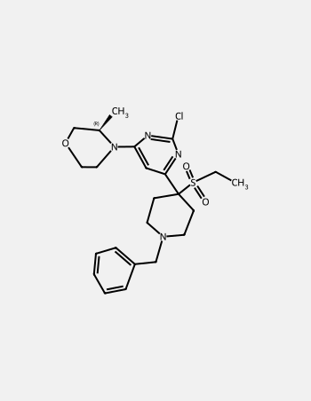 CCS(=O)(=O)C1(c2cc(N3CCOC[C@H]3C)nc(Cl)n2)CCN(Cc2ccccc2)CC1